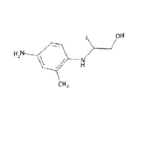 Cc1cc(N)ccc1NC(I)CO